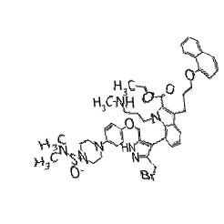 CCOC(=O)c1c(CCCOc2cccc3ccccc23)c2cccc(-c3c(CBr)n[nH]c3COc3ccc(N4CCN([S+]([O-])N(C)C)CC4)cc3)c2n1CCCNC